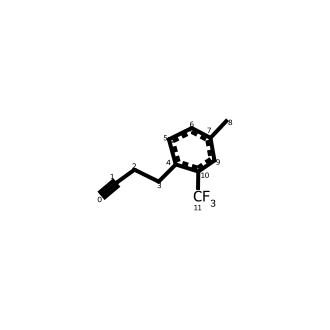 C#CCCc1ccc(C)cc1C(F)(F)F